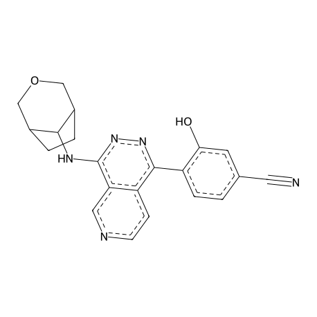 N#Cc1ccc(-c2nnc(NC3C4CCC3COC4)c3cnccc23)c(O)c1